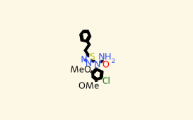 COc1cc(OC)c(N(C(N)=O)c2nnc(CCc3ccccc3)s2)cc1Cl